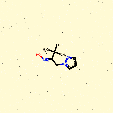 CC(C)(C)/C(Cn1cccn1)=N\O